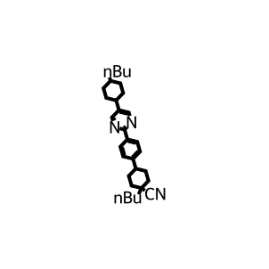 CCCCC1CCC(c2cnc(-c3ccc(C4CCC(C#N)(CCCC)CC4)cc3)nc2)CC1